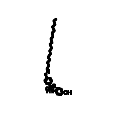 CCCCCCCCCCCCCCCCCCN=Cc1ccc(S(=O)(=O)Nc2ccc(O)cc2)cc1